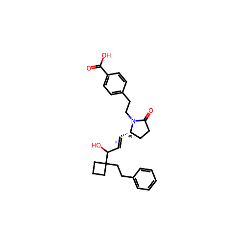 O=C(O)c1ccc(CCN2C(=O)CC[C@@H]2/C=C/C(O)C2(CCc3ccccc3)CCC2)cc1